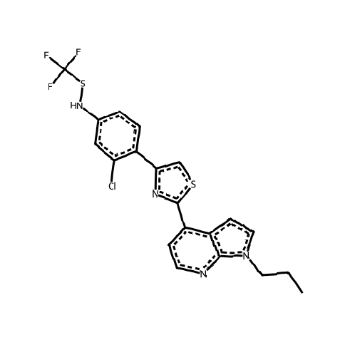 CCCn1ccc2c(-c3nc(-c4ccc(NSC(F)(F)F)cc4Cl)cs3)ccnc21